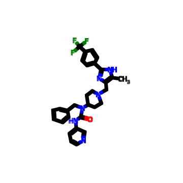 Cc1[nH]c(-c2ccc(C(F)(F)F)cc2)nc1CN1CCC(N(Cc2ccccc2)C(=O)Nc2cccnc2)CC1